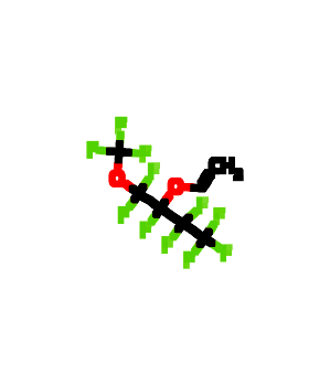 C=COC(F)(C(F)(F)OC(F)(F)F)C(F)(F)C(F)(F)F